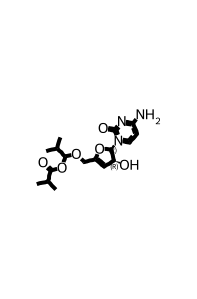 CC(C)C(=O)OC(OCC1=C[C@@H](O)[C@H](n2ccc(N)nc2=O)O1)C(C)C